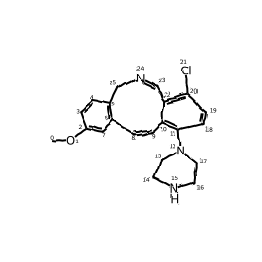 COc1ccc2c(c1)C=Cc1c(N3CCNCC3)ccc(Cl)c1C=NC2